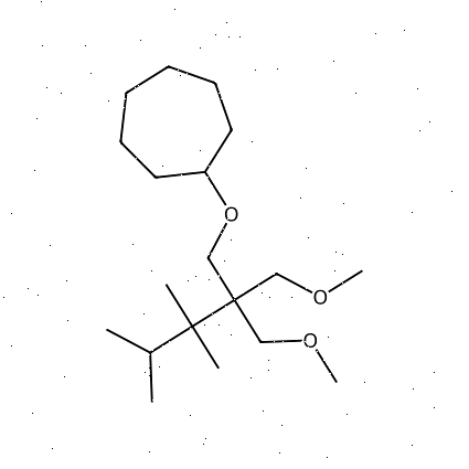 COCC(COC)(COC1CCCCCC1)C(C)(C)C(C)C